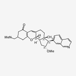 CNCC1CC(=O)C2=C(C1)O[C@@H]1C(=C2)CC[C@@]2(C)[C@H]1C[C@@H](OC)[C@@H]2c1ccc2ccncc2c1